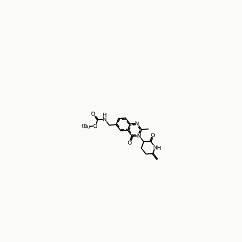 C=C1CCC(n2c(C)nc3ccc(CNC(=O)OC(C)(C)C)cc3c2=O)C(=O)N1